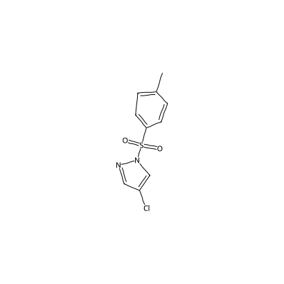 Cc1ccc(S(=O)(=O)n2cc(Cl)cn2)cc1